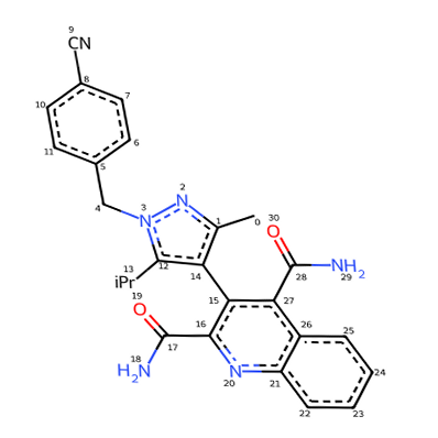 Cc1nn(Cc2ccc(C#N)cc2)c(C(C)C)c1-c1c(C(N)=O)nc2ccccc2c1C(N)=O